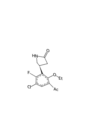 CCOc1c(C(C)=O)cc(Cl)c(F)c1[C@H]1CNC(=O)C1